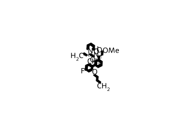 C=CCCCOc1cc(F)cc(C)c1-c1cccc([C@H](CC(=O)OC)NC(=O)[C@H](CC=C)n2ccccc2=O)c1